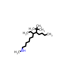 CCCCC(C(CC)CCCCCCNC)C(C)(C)C